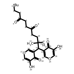 CC(C)(C)CCC(=O)CCC(=O)CCC(C)(C)C(c1cocc(O)c1=O)c1cocc(O)c1=O